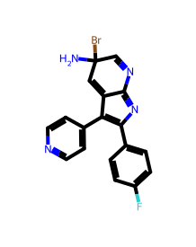 NC1(Br)C=NC2=NC(c3ccc(F)cc3)=C(c3ccncc3)C2=C1